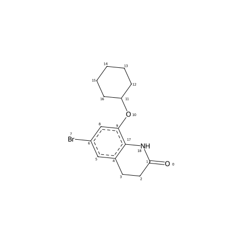 O=C1CCc2cc(Br)cc(OC3CCCCC3)c2N1